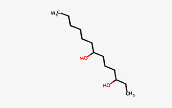 CCCCCCC(O)CCCC(O)CC